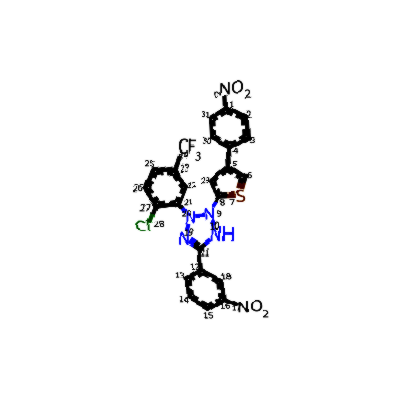 O=[N+]([O-])c1ccc(-c2csc(N3NC(c4cccc([N+](=O)[O-])c4)=NN3c3cc(C(F)(F)F)ccc3Cl)c2)cc1